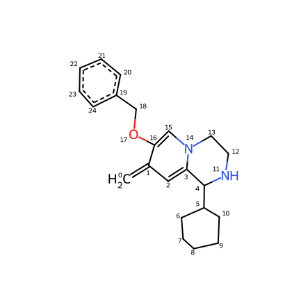 C=C1C=C2C(C3CCCCC3)NCCN2C=C1OCc1ccccc1